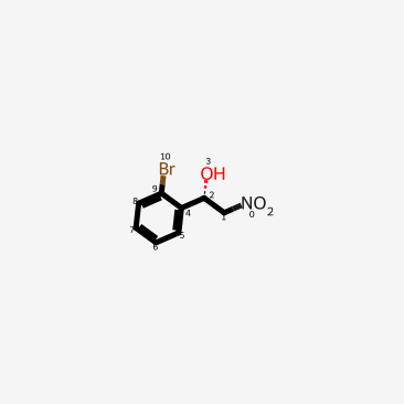 O=[N+]([O-])C[C@@H](O)c1ccccc1Br